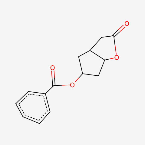 O=C1CC2CC(OC(=O)c3ccccc3)CC2O1